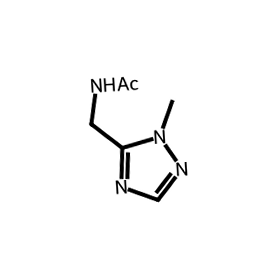 CC(=O)NCc1ncnn1C